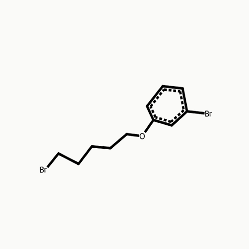 BrCCCCCOc1cccc(Br)c1